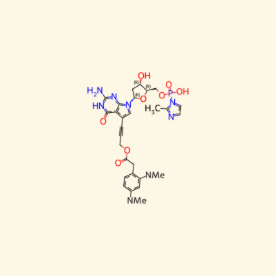 CNc1ccc(CC(=O)OCC#Cc2cn([C@H]3C[C@@H](O)[C@@H](COP(=O)(O)n4ccnc4C)O3)c3nc(N)[nH]c(=O)c23)c(NC)c1